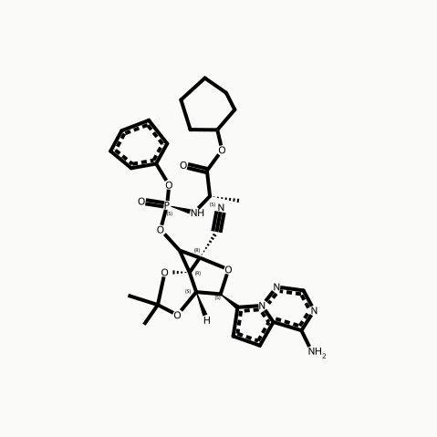 C[C@H](N[P@@](=O)(Oc1ccccc1)OC1[C@@]2(C#N)O[C@@H](c3ccc4c(N)ncnn34)[C@@H]3OC(C)(C)O[C@@]132)C(=O)OC1CCCCC1